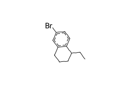 CCC1CCCc2cc(Br)ccc21